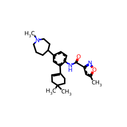 Cc1cc(C(=O)Nc2ccc(C3CCCN(C)CC3)cc2C2=CCC(C)(C)CC2)no1